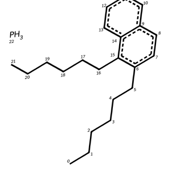 CCCCCCc1ccc2ccccc2c1CCCCCC.P